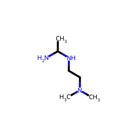 CC(N)NCCN(C)C